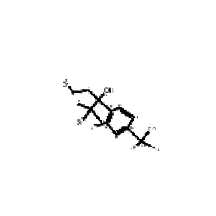 CC(C)(Br)C(O)(CCBr)c1ccc(C(F)(F)F)cc1F